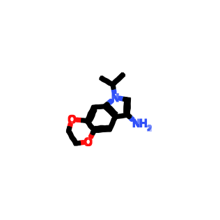 CC(C)n1cc(N)c2cc3c(cc21)OCCO3